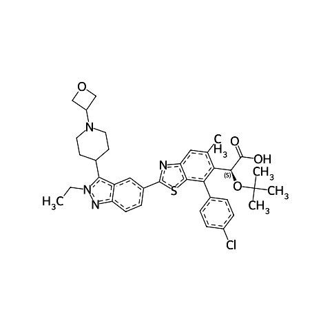 CCn1nc2ccc(-c3nc4cc(C)c([C@H](OC(C)(C)C)C(=O)O)c(-c5ccc(Cl)cc5)c4s3)cc2c1C1CCN(C2COC2)CC1